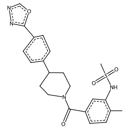 Cc1ccc(C(=O)N2CCC(c3ccc(-c4nnco4)cc3)CC2)cc1NS(C)(=O)=O